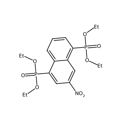 CCOP(=O)(OCC)c1cc([N+](=O)[O-])cc2c(P(=O)(OCC)OCC)cccc12